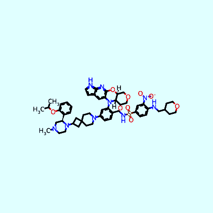 CC(C)Oc1ccccc1[C@@H]1CN(C)CCN1C1CC2(CCN(c3ccc(C(=O)NS(=O)(=O)c4ccc(NCC5CCOCC5)c([N+](=O)[O-])c4)c(N4c5cc6cc[nH]c6nc5O[C@H]5COCC[C@@H]54)c3)CC2)C1